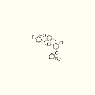 CCC(c1ccc(F)cc1)c1cc(Cc2c(Cl)cc(Oc3ccccc3N3CC3)cc2Cl)ccc1O